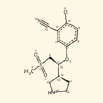 CS(=O)(=O)C[C@@H](Oc1ccc(Cl)c(C#N)c1)[C@H]1CCNC1